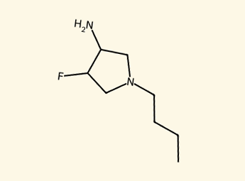 CCCCN1CC(N)C(F)C1